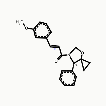 COc1cccc(/C=C/C(=O)N2COC3(CC3)[C@H]2c2ccccc2)c1